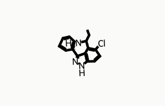 CCC(N)c1c(Cl)ccc2[nH]nc(-c3ccccc3)c12